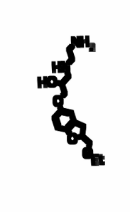 CCOCC1Cc2cc(OCC(O)CNCCN)ccc2O1